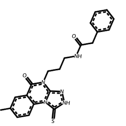 O=C(Cc1ccccc1)NCCCn1c(=O)c2cc(F)ccc2n2c(=S)[nH]nc12